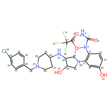 NC(=O)N(OC(=O)C(F)(F)F)c1ccc(O)cc1N1CC(O)C(NC2CCN(Cc3ccc(Cl)cc3)CC2)C1